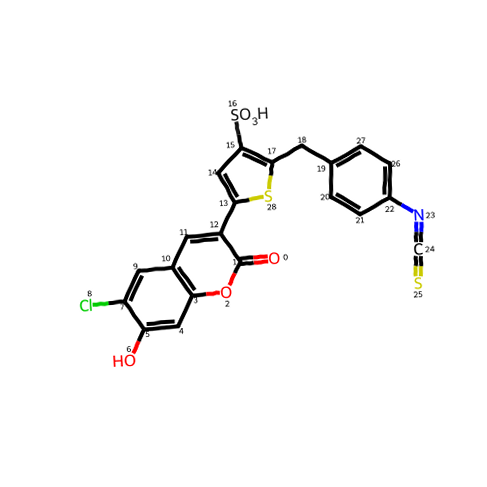 O=c1oc2cc(O)c(Cl)cc2cc1-c1cc(S(=O)(=O)O)c(Cc2ccc(N=C=S)cc2)s1